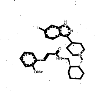 COc1ccccc1/C=C/C(=O)NC[C@@H]1CCCC[C@H]1CN1CCC(c2n[nH]c3cc(F)ccc23)CC1